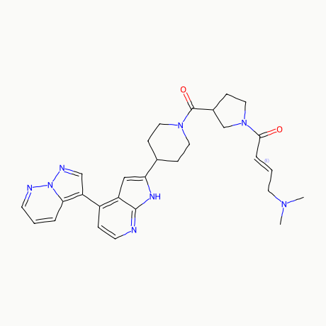 CN(C)C/C=C/C(=O)N1CCC(C(=O)N2CCC(c3cc4c(-c5cnn6ncccc56)ccnc4[nH]3)CC2)C1